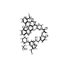 C=C(Cn1cc(CNc2cc(N3CCCC[C@H]3CCO)nc3c(CC)cnn23)ccc1=O)C(=O)N1CCN(c2nc(=O)n(-c3c(C)ccnc3C(C)C)c3nc(-c4c(O)cccc4F)c(F)cc23)[C@@H](C)C1